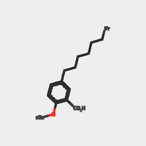 CCCCOc1ccc(CCCCCCC(C)C)cc1C(=O)O